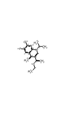 C=C(OCC)C1=CN(C(C)C)c2nc(Cl)c(F)cc2C1=C